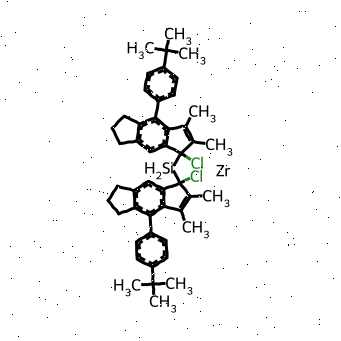 CC1=C(C)C(Cl)([SiH2]C2(Cl)C(C)=C(C)c3c2cc2c(c3-c3ccc(C(C)(C)C)cc3)CCC2)c2cc3c(c(-c4ccc(C(C)(C)C)cc4)c21)CCC3.[Zr]